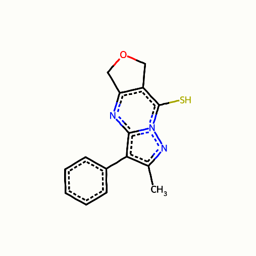 Cc1nn2c(S)c3c(nc2c1-c1ccccc1)COC3